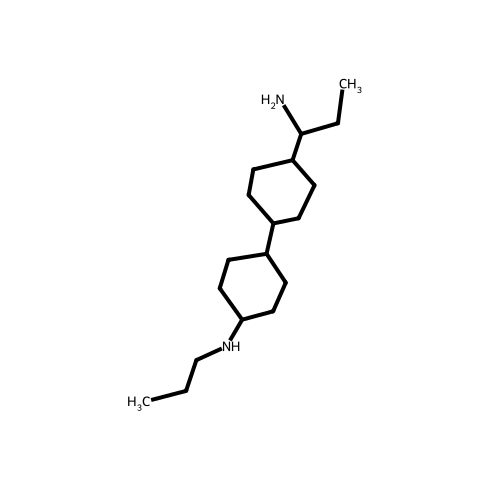 CCCNC1CCC(C2CCC(C(N)CC)CC2)CC1